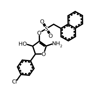 NC1=C(OS(=O)(=O)Cc2cccc3ccccc23)C(O)C(c2ccc(Cl)cc2)O1